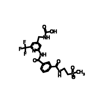 CS(=O)(=O)CCNC(=O)c1cccc(C(=O)Nc2cc(CNC(=O)O)cc(C(F)(F)F)n2)c1